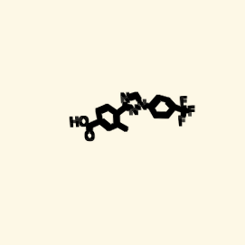 Cc1cc(C(=O)O)ccc1-c1ncn(-c2ccc(C(F)(F)F)cc2)n1